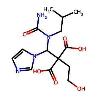 CC(C)CN(C(N)=O)C(n1ccnc1)C(CCO)(C(=O)O)C(=O)O